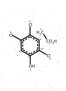 CC(=O)O.Oc1cc(Cl)c(Cl)cc1Cl